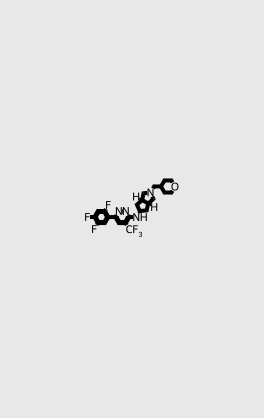 Fc1cc(F)c(-c2cc(C(F)(F)F)c(N[C@H]3C[C@@H]4CN(CC5CCOCC5)C[C@@H]4C3)nn2)cc1F